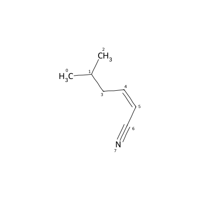 CC(C)C/C=C\C#N